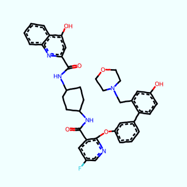 O=C(NC1CCC(NC(=O)c2cc(F)cnc2Oc2cccc(-c3ccc(O)cc3CN3CCOCC3)c2)CC1)c1cc(O)c2ccccc2n1